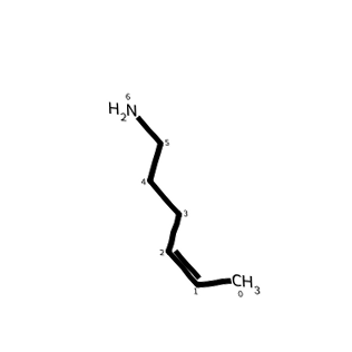 C/C=C\CCCN